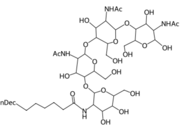 CCCCCCCCCCCCCCCC(=O)NC1C(OC2C(CO)OC(OC3C(CO)OC(OC4C(CO)OC(O)C(NC(C)=O)C4O)C(NC(C)=O)C3O)C(NC(C)=O)C2O)OC(CO)C(O)C1O